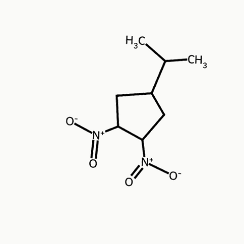 CC(C)C1CC([N+](=O)[O-])C([N+](=O)[O-])C1